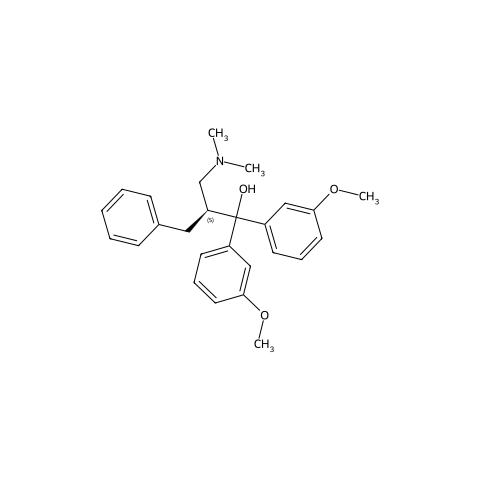 COc1cccc(C(O)(c2cccc(OC)c2)[C@@H](Cc2ccccc2)CN(C)C)c1